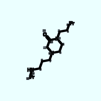 CC(C)CCN1CCN(CCCNC(C)C)CC1=O